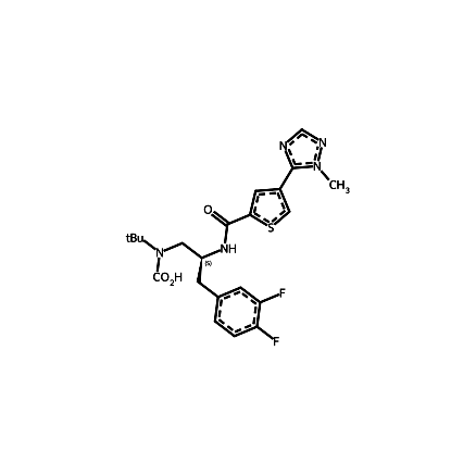 Cn1ncnc1-c1csc(C(=O)N[C@@H](Cc2ccc(F)c(F)c2)CN(C(=O)O)C(C)(C)C)c1